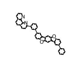 c1ccc(-c2ccc3oc4cc5c(cc4c3c2)oc2ccc(-c3cccc(-c4ccc6ccc7cccnc7c6n4)c3)cc25)cc1